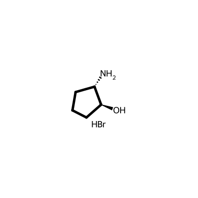 Br.N[C@H]1CCC[C@@H]1O